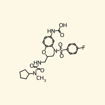 CN(C1CCCC1)S(=O)(=O)NCC1CN(S(=O)(=O)c2ccc(F)cc2)c2cc(NC(=O)O)ccc2O1